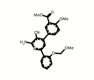 COCOc1ccccc1-c1cc(-c2ccc(OC)c(C(=O)OC)c2)c(C#N)c(N)n1